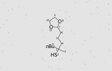 CCCCC(C)(S)CCCC1OCCO1